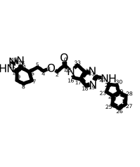 O=C(COCCC1CCCc2[nH]nnc21)N1Cc2cnc(NC3Cc4ccccc4C3)nc2C1